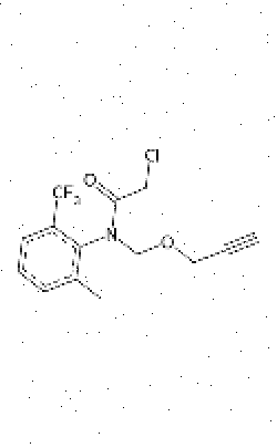 C#CCOCN(C(=O)CCl)c1c(C)cccc1C(F)(F)F